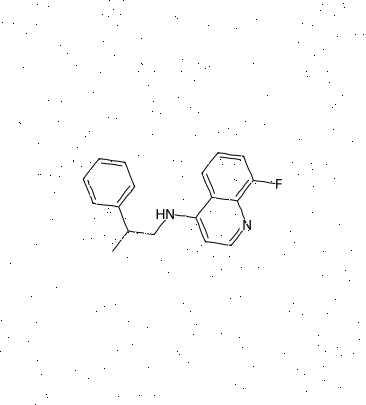 CC(CNc1ccnc2c(F)cccc12)c1ccccc1